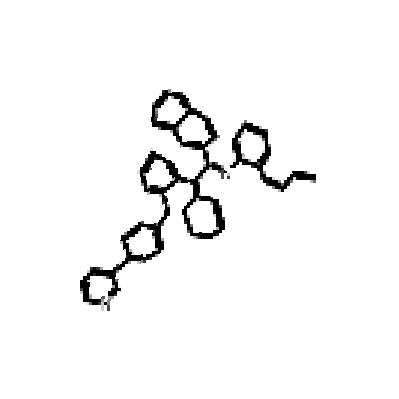 C=C/C=C\c1ccccc1/N=C(/C(=C1\C=CCCC1)c1ccccc1Cc1ccc(-c2cccnc2)cc1)c1ccc2ccccc2c1